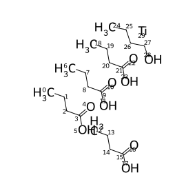 CCCC(=O)O.CCCC(=O)O.CCCC(=O)O.CCCC(=O)O.CCCCO.[Ti]